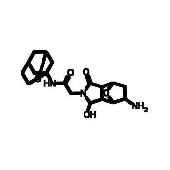 NC1CC2OC1C1C2C(=O)N(CC(=O)NC23CC4CC(CC(C4)O2)C3)C1O